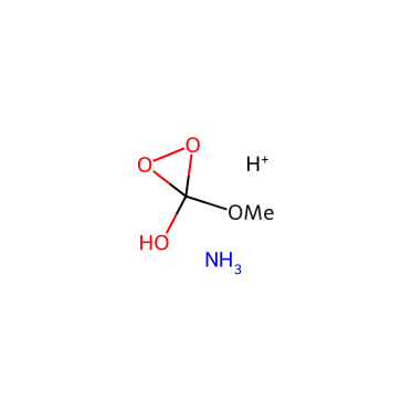 COC1(O)OO1.N.[H+]